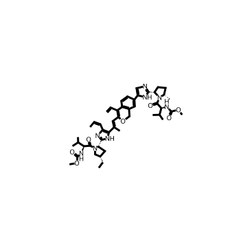 C=CC1=C(/C=C(\C)c2[nH]c([C@@H]3C[C@H](CC)CN3C(=O)[C@@H](NC(=O)OC)C(C)C)nc2/C=C\C)OCc2cc(-c3cnc([C@@H]4CC[C@H](C)N4C(=O)[C@@H](NC(=O)OC)C(C)C)[nH]3)ccc21